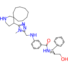 Cn1c(CNc2cccc(C(=O)N[C@H](CCO)c3ccccc3)c2)nnc1C1CCNCC12CCCCCCCC2